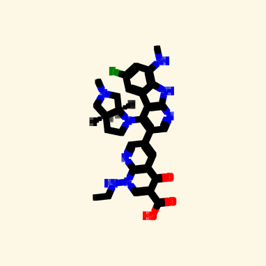 CCNn1cc(C(=O)O)c(=O)c2cc(-c3cnc4[nH]c5c(NC)cc(F)cc5c4c3N3CC[C@H]4CN(C)C[C@H]43)cnc21